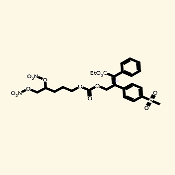 CCOC(=O)/C(=C(\COC(=O)OCCCC(CO[N+](=O)[O-])O[N+](=O)[O-])c1ccc(S(C)(=O)=O)cc1)c1ccccc1